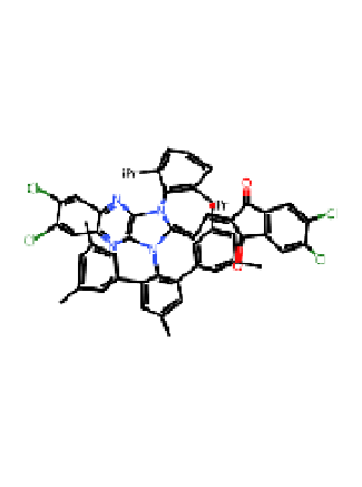 Cc1cc(C)cc(-c2cc(C)cc(-c3cc(C)cc(C)c3)c2N2/C(=C/C=C3C(=O)c4cc(Cl)c(Cl)cc4C3=O)N(c3c(C(C)C)cccc3C(C)C)c3nc4cc(Cl)c(Cl)cc4nc32)c1